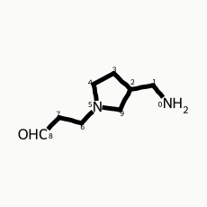 NCC1CCN(CCC=O)C1